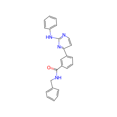 O=C(NCc1ccccc1)c1cccc(-c2ccnc(Nc3ccccc3)n2)c1